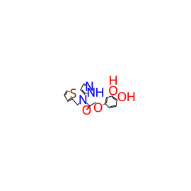 O=C(COc1ccc(O)c(O)c1)N(Cc1cccs1)c1ccn[nH]1